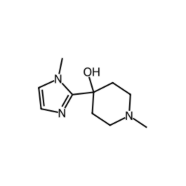 CN1CCC(O)(c2nccn2C)CC1